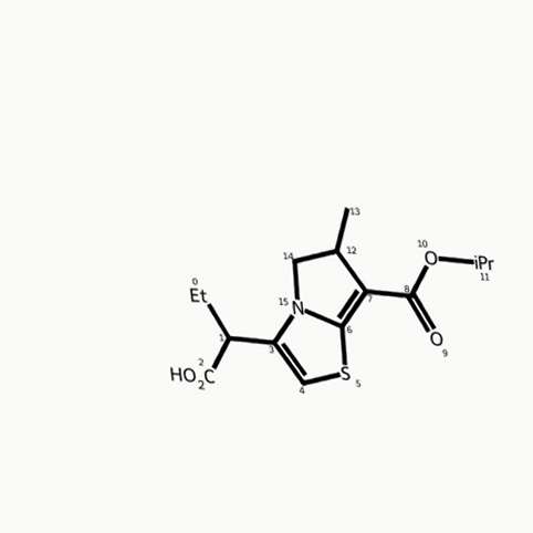 CCC(C(=O)O)C1=CSC2=C(C(=O)OC(C)C)C(C)CN12